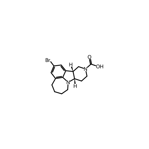 O=C(O)N1CC[C@H]2[C@@H](C1)c1cc(Br)cc3c1N2CCCC3